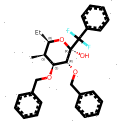 CC[C@H]1O[C@@](O)(C(F)(F)c2ccccc2)[C@H](OCc2ccccc2)[C@@H](OCc2ccccc2)[C@H]1C